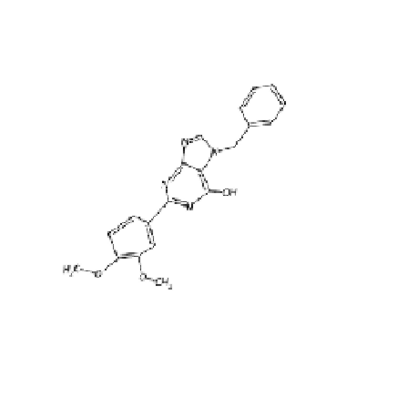 COc1ccc(-c2nc(O)c3c(ncn3Cc3ccccc3)n2)cc1OC